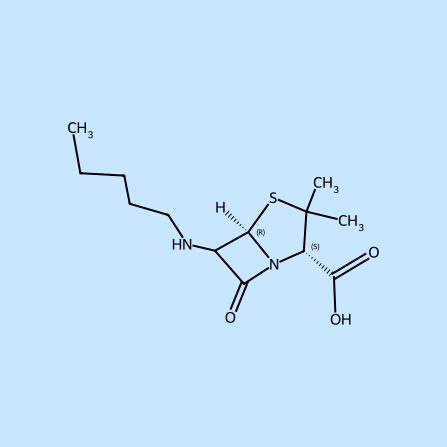 CCCCCNC1C(=O)N2[C@@H]1SC(C)(C)[C@@H]2C(=O)O